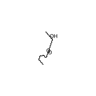 CCCCC/C=C\C/C=C\C/C=C\C/C=C\CCCC(=O)OCCCCCCCC/C=C\C[C@H](O)CCCCCC